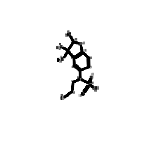 CC1(C)c2cc(N(CCCl)S(=O)(=O)O)ccc2OC1O